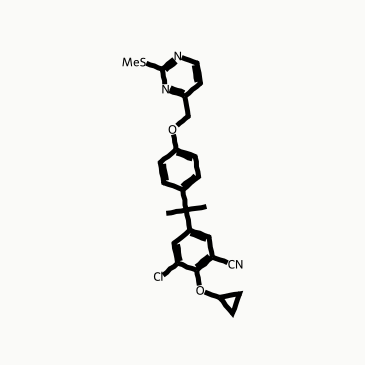 CSc1nccc(COc2ccc(C(C)(C)c3cc(Cl)c(OC4CC4)c(C#N)c3)cc2)n1